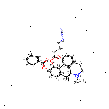 CN1CCc2cccc3c2[C@H]1Cc1ccc(OC(=O)c2ccccc2)c(OC(=O)CCCN=[N+]=[N-])c1-3